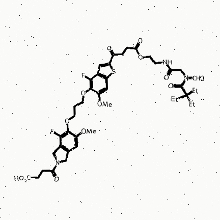 CCC(CC)(CC)C(=O)N(C=O)CC(=O)NCCOC(=O)CCC(=O)c1cc2c(F)c(OCCCOc3c(OC)cc4c(c3F)CN(C(=O)CCC(=O)O)C4)c(OC)cc2s1